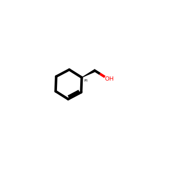 OC[C@H]1C=CCCC1